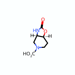 O=C1N[C@@H]2CN(C(=O)O)CC[C@@H]2O1